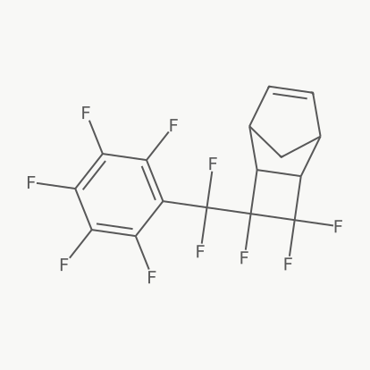 Fc1c(F)c(F)c(C(F)(F)C2(F)C3C4C=CC(C4)C3C2(F)F)c(F)c1F